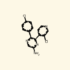 Nc1cnc(-c2ccc(Cl)cc2)c(-c2ccncc2Cl)n1